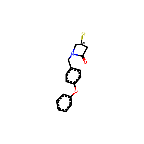 O=C1C[C@H](S)CN1Cc1ccc(Oc2ccccc2)cc1